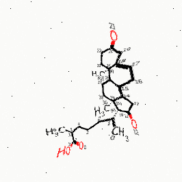 CC(CCC[C@H](C)C(=O)O)[C@H]1C(=O)CC2C3CC=C4CC(=O)CC[C@]4(C)C3CC[C@@]21C